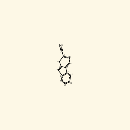 N#CC1=NC=C2C(=Cc3ccccc32)C1